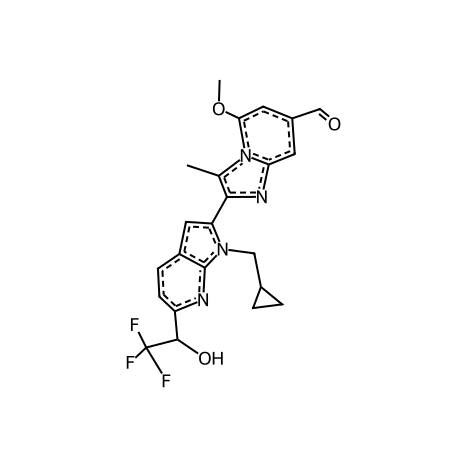 COc1cc(C=O)cc2nc(-c3cc4ccc(C(O)C(F)(F)F)nc4n3CC3CC3)c(C)n12